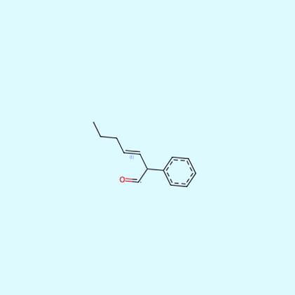 CCC/C=C/C([C]=O)c1ccccc1